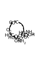 CC1C\C=C/C=C\C=C/C=C\C(O[C@@H]2O[C@H](C)[C@@H](O)[C@H](N)[C@@H]2O)CC2OC(O)(CC(O)CC3OC3/C=C\C(=O)O1)CC(O)C2C(N)=O